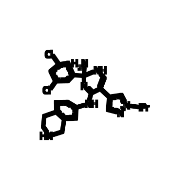 CC(C)n1cc(C2=CNC(N)(c3cc(Cl)cc(Cl)c3)N=C2Nc2ccc3c(c2)CNCC3)cn1